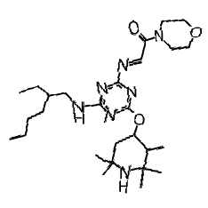 CCCCC(CC)CNc1nc(/N=C/C(=O)N2CCOCC2)nc(OC2CC(C)(C)NC(C)(C)C2C)n1